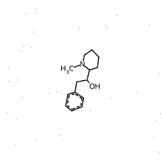 CN1CCCCC1C(O)Cc1ccccc1